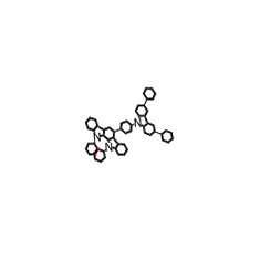 c1ccc(-c2ccc3c(c2)c2cc(-c4ccccc4)ccc2n3-c2ccc(-c3cc4c5ccccc5n(-c5ccccc5)c4c4c3c3ccccc3n4-c3ccccc3)cc2)cc1